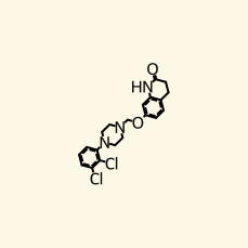 O=C1CCc2ccc(OCN3CCN(c4cccc(Cl)c4Cl)CC3)cc2N1